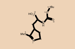 CSC1=NCCC1CC(NC(=O)OC(C)(C)C)C(=O)O